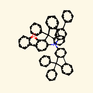 c1ccc(-c2ccc(N(c3ccc4c(c3)C(c3ccccc3)(c3ccccc3)c3ccccc3-4)c3ccc4c(oc5ccccc54)c3C3(c4ccccc4)c4ccccc4-c4ccccc43)cc2)cc1